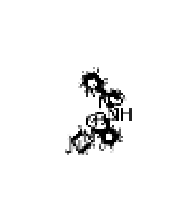 CN1CCN(C(=O)c2ccccc2C(=O)Nc2nc(-c3ccccn3)cs2)CC1